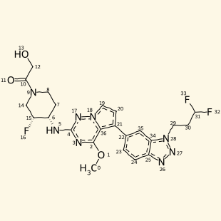 COc1nc(N[C@H]2CCN(C(=O)CO)C[C@H]2F)nn2ccc(-c3ccc4nnn(CCC(F)F)c4c3)c12